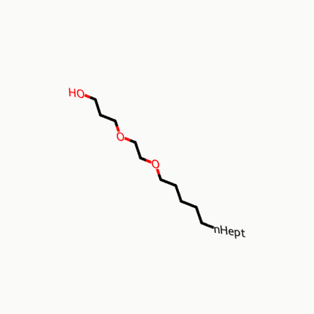 CCCCCCCCCCCCOCCOCCCO